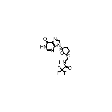 O=C(NC[C@@H]1CC[C@H](n2cnc3c(=O)[nH]cnc32)O1)C(F)(F)F